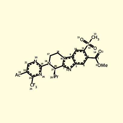 COC(=O)c1cc2nc3n(c2cc1S(C)(=O)=O)CCN(c1ncc(C(C)=O)c(C(F)(F)F)n1)[C@@H]3C(C)C